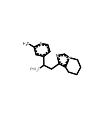 CCOC(=O)C(Cc1ncn2c1CCCC2)c1ccnc(C)c1